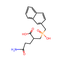 NC(=O)CCC(CP(=O)(O)Cc1ccc2ccccc2c1)C(=O)O